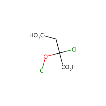 O=C(O)CC(Cl)(OCl)C(=O)O